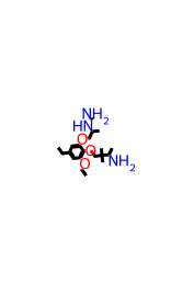 CCOc1cc(CC)cc(OCC(C)NCN)c1OCC(C)(C)C(C)N